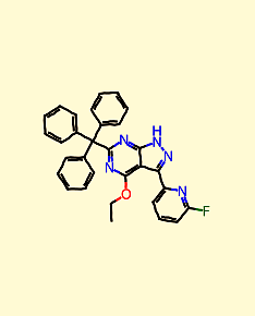 CCOc1nc(C(c2ccccc2)(c2ccccc2)c2ccccc2)nc2[nH]nc(-c3cccc(F)n3)c12